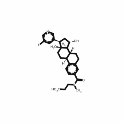 CN(CCC(=O)O)C(=O)c1ccc2c(c1)CC[C@H]1[C@@H]3[C@@H](O)C[C@H](c4cncc(F)c4)[C@@]3(C)CC[C@H]21